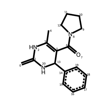 C=C1NC(C)=C(C(=O)N2CCCC2)C(c2ccccc2)N1